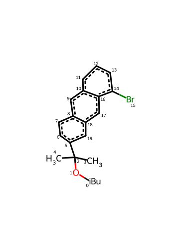 CCC(C)OC(C)(C)c1ccc2cc3cccc(Br)c3cc2c1